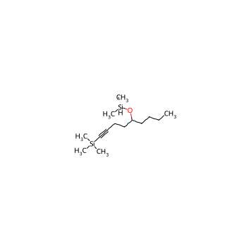 CCCCC(CCC#C[Si](C)(C)C)O[SiH](C)C